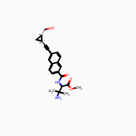 COC(=O)C(NC(=O)c1ccc2cc(C#C[C@H]3C[C@@H]3CO)ccc2c1)C(C)(C)N